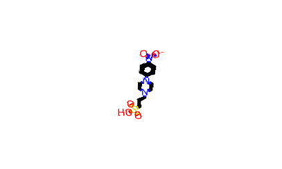 O=[N+]([O-])c1ccc(N2CCN(CCCS(=O)(=O)O)CC2)cc1